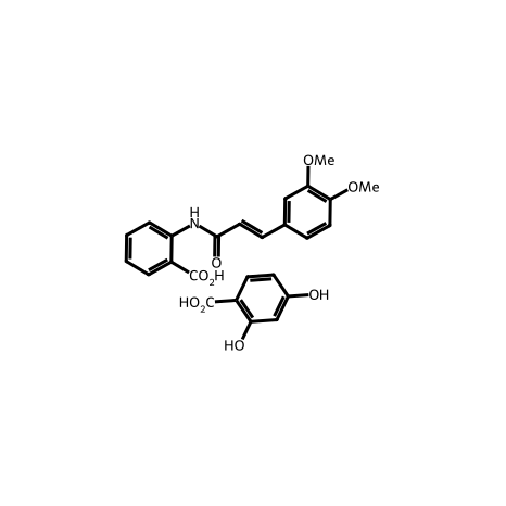 COc1ccc(C=CC(=O)Nc2ccccc2C(=O)O)cc1OC.O=C(O)c1ccc(O)cc1O